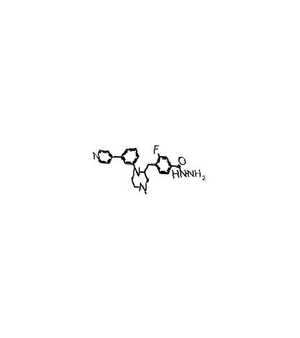 CN1CCN(c2cccc(-c3ccncc3)c2)C(Cc2ccc(C(=O)NN)cc2F)C1